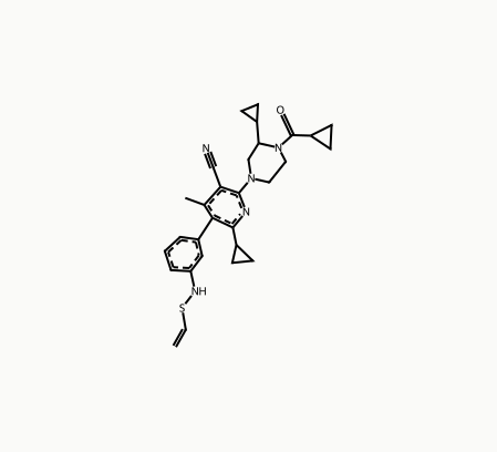 C=CSNc1cccc(-c2c(C3CC3)nc(N3CCN(C(=O)C4CC4)C(C4CC4)C3)c(C#N)c2C)c1